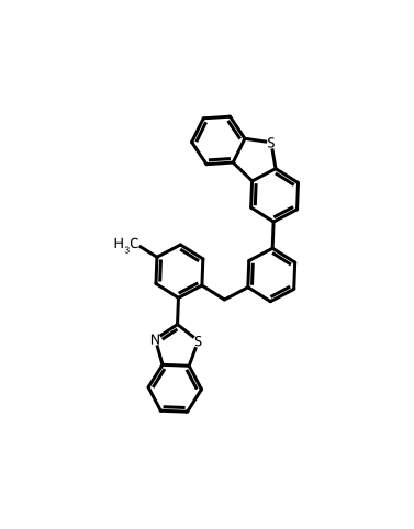 Cc1ccc(Cc2cccc(-c3ccc4sc5ccccc5c4c3)c2)c(-c2nc3ccccc3s2)c1